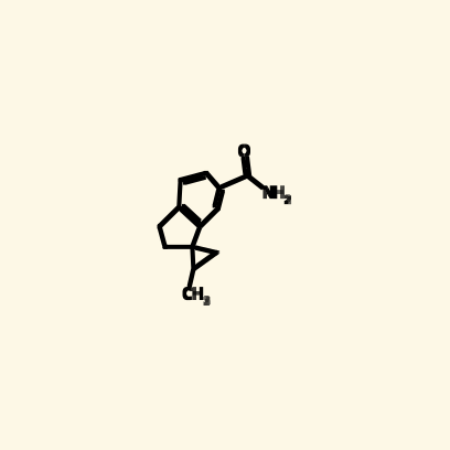 CC1CC12CCc1ccc(C(N)=O)cc12